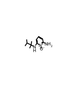 CC(C)C(C)(C)Nc1cccc(N)[n+]1[O-]